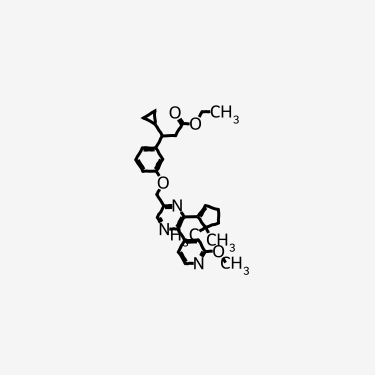 CCOC(=O)CC(c1cccc(OCc2cnc(-c3ccnc(OC)c3)c(C3=CCCC3(C)C)n2)c1)C1CC1